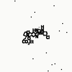 CCOC(=O)CC[C@H]1CCCCN1C(=O)c1cc2ncnc(N[C@H](C)c3nc4cc(Cl)ccc4[nH]3)c2cc1Cl